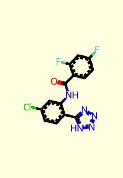 O=C(Nc1cc(Cl)ccc1-c1nnn[nH]1)c1ccc(F)cc1F